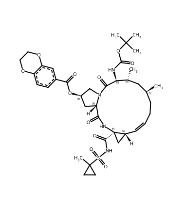 C[C@H]1CCC=C[C@@H]2C[C@@]2(C(=O)NS(=O)(=O)C2(C)CC2)NC(=O)[C@@H]2C[C@@H](OC(=O)c3ccc4c(c3)OCCO4)CN2C(=O)[C@@H](NC(=O)OC(C)(C)C)[C@H](C)C1